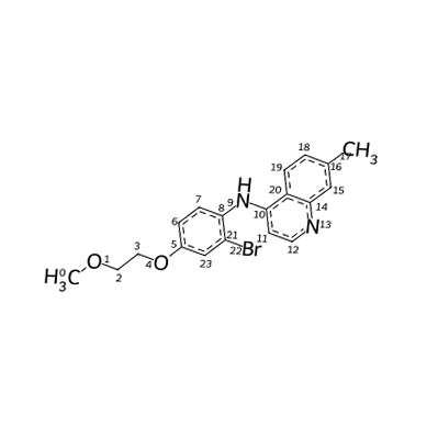 COCCOc1ccc(Nc2ccnc3cc(C)ccc23)c(Br)c1